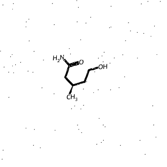 C[C@H]([CH]CO)CC(N)=O